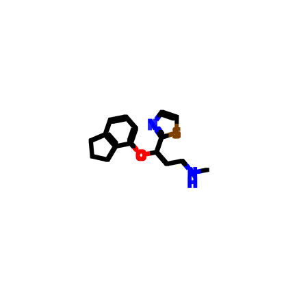 CNCCC(Oc1cccc2c1CCC2)c1nccs1